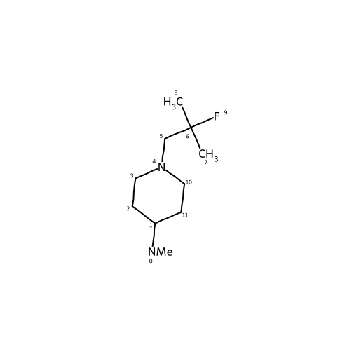 CNC1CCN(CC(C)(C)F)CC1